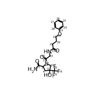 NC(=O)C1CC(O)(C(F)(F)F)CN1C(=O)CNC(=O)CCCOc1ccccc1